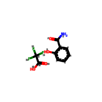 NC(=O)c1ccccc1O.O=C(O)C(F)(F)F